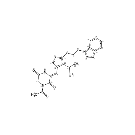 CC(=O)N1CC(=O)NC(=Cc2ncn(CCCn3ccc4ccccc43)c2C(C)C)C1=O